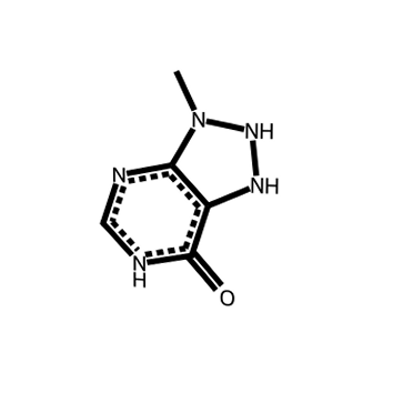 CN1NNc2c1nc[nH]c2=O